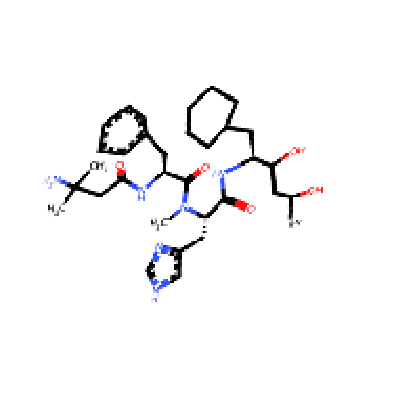 CC(C)C(O)CC(O)[C@H](CC1CCCCC1)NC(=O)[C@H](Cc1c[nH]cn1)N(C)C(=O)[C@H](Cc1ccccc1)NC(=O)CC(C)(C)N